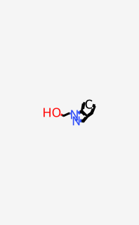 OCCn1ncc2ccccc21